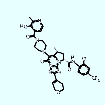 Cc1nccc(C(=O)N2CCN(c3c4n(c5nc(C6=CCOCC6)nn5c3=O)[C@@H](C(=O)Nc3ccc(C(F)(F)F)cc3Cl)C[C@H]4C)CC2)c1O